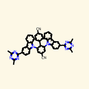 Cc1nc(C)nc(-c2ccc3c(c2)c2ccccc2n3-c2cc(C#N)cc(-n3c4ccccc4c4cc(-c5nc(C)nc(C)n5)ccc43)c2-c2ccc(C#N)cc2C(F)(F)F)n1